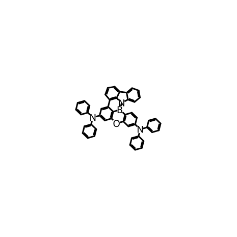 c1ccc(N(c2ccccc2)c2ccc3c(c2)Oc2cc(N(c4ccccc4)c4ccccc4)cc4c2B3n2c3ccccc3c3cccc-4c32)cc1